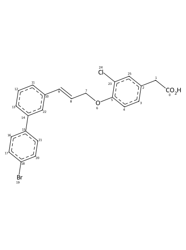 O=C(O)Cc1ccc(OCC=Cc2cccc(-c3ccc(Br)cc3)c2)c(Cl)c1